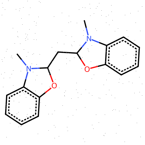 CN1c2ccccc2OC1CC1Oc2ccccc2N1C